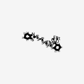 CCO[Si](OCC)(OCC)c1ccccc1SSSSSSSSc1nc2ccccc2s1